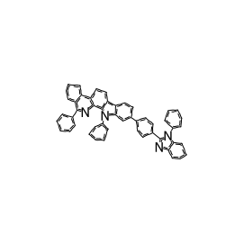 c1ccc(-c2nc3c(ccc4c5ccc(-c6ccc(-c7nc8ccccc8n7-c7ccccc7)cc6)cc5n(-c5ccccc5)c43)c3ccccc23)cc1